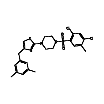 Cc1cc(C)cc(Cc2csc(N3CCN(S(=O)(=O)c4cc(C)c(Cl)cc4Cl)CC3)n2)c1